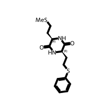 CSCC[C@H]1NC(=O)[C@@H](CCSc2ccccc2)NC1=O